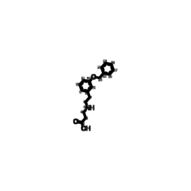 O=C(O)CCNCCc1cccc(OCc2ccccc2)c1